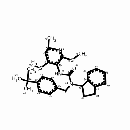 CSc1cc(C)nc(SC)c1NC(=O)N(Cc1ccc(C(C)(C)C)cc1)C1CCc2ccccc21